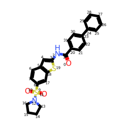 O=C(Nc1cc2ccc(S(=O)(=O)N3CCCC3)cc2s1)c1ccc(-c2ccccc2)cc1